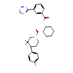 CC1(C)CN(C(=O)[C@H]2CCCC[C@H]2NC(=O)c2cccc(C3=NCN=N3)c2)CC[C@]1(O)c1ccc(Cl)cc1